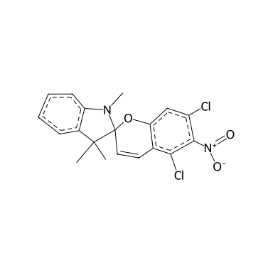 CN1c2ccccc2C(C)(C)C12C=Cc1c(cc(Cl)c([N+](=O)[O-])c1Cl)O2